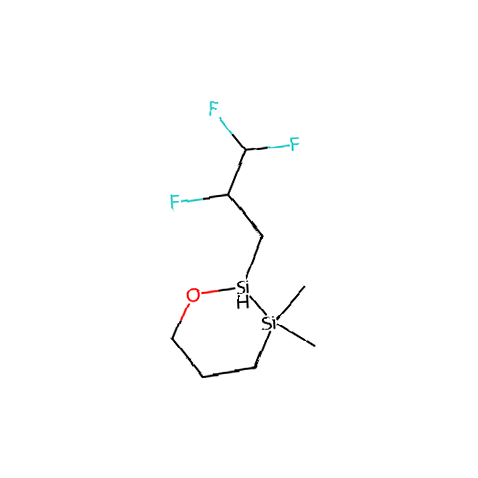 C[Si]1(C)CCCO[SiH]1CC(F)C(F)F